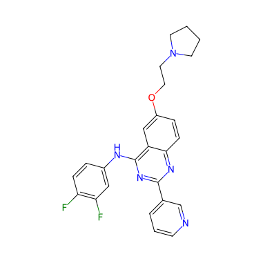 Fc1ccc(Nc2nc(-c3cccnc3)nc3ccc(OCCN4CCCC4)cc23)cc1F